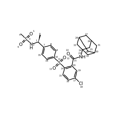 C[C@H](NS(C)(=O)=O)c1ccc(S(=O)(=O)c2ccc(Cl)cc2C(=O)NC23CC4CC(CC(C4)C2)C3)cc1